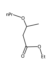 CCCOC(C)CC(=O)OCC